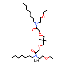 CCCCCCCN(CCOCC)C(=O)COCC(C)(C)COCC(=O)N(CCCCCCC)CCOCC.[LiH]